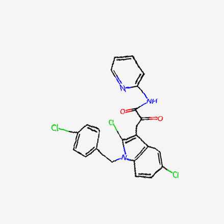 O=C(Nc1ccccn1)C(=O)c1c(Cl)n(Cc2ccc(Cl)cc2)c2ccc(Cl)cc12